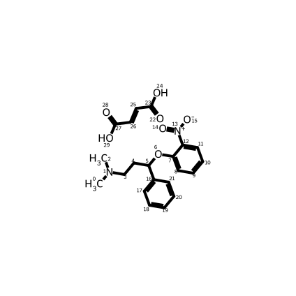 CN(C)CCC(Oc1ccccc1[N+](=O)[O-])c1ccccc1.O=C(O)C=CC(=O)O